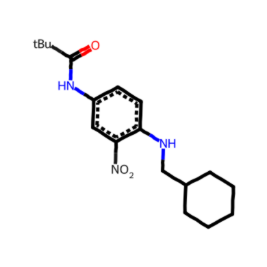 CC(C)(C)C(=O)Nc1ccc(NCC2CCCCC2)c([N+](=O)[O-])c1